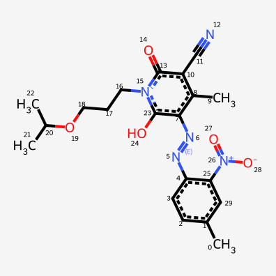 Cc1ccc(/N=N/c2c(C)c(C#N)c(=O)n(CCCOC(C)C)c2O)c([N+](=O)[O-])c1